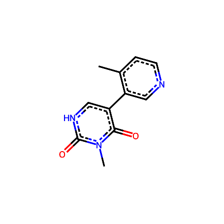 Cc1ccncc1-c1c[nH]c(=O)n(C)c1=O